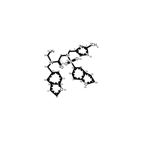 Cc1nc(CN(CC(=O)N(Cc2ccc3occc3c2)CC(C)C)S(=O)(=O)c2ccc3occc3c2)cs1